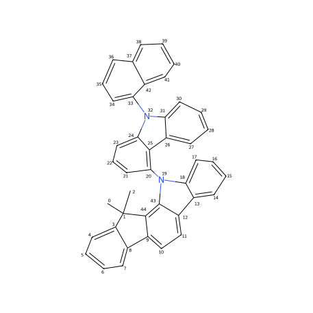 CC1(C)c2ccccc2-c2ccc3c4ccccc4n(-c4cccc5c4c4ccccc4n5-c4cccc5ccccc45)c3c21